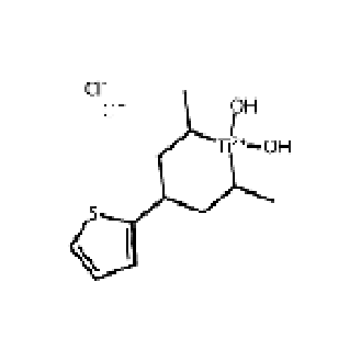 C[CH]1CC(c2cccs2)C[CH](C)[Ti+2]1([OH])[OH].[Cl-].[Cl-]